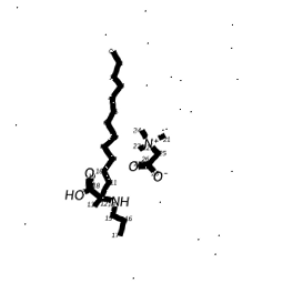 CCCCCCCCCCCCC(C)(NCCC)C(=O)O.C[N+](C)(C)CC(=O)[O-]